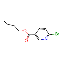 CCCCOC(=O)c1ccc(Br)nc1